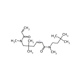 C=CC(=O)N(C)CC(C)(C)C/C=C\C(=O)N(C)CCC(C)(C)C